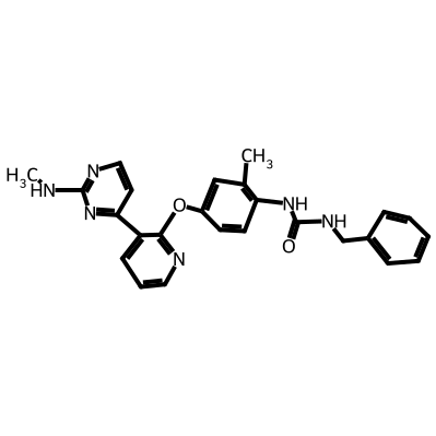 CNc1nccc(-c2cccnc2Oc2ccc(NC(=O)NCc3ccccc3)c(C)c2)n1